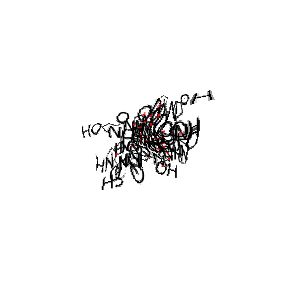 O=C(N[C@@H](CS)C(=O)NCC(=O)N1CCC[C@H]1C(=O)N1C[C@H](O)C[C@H]1C(=O)NCC(=O)N1CCC[C@H]1C(=O)N1C[C@H](O)C[C@H]1C(=O)NCC(=O)N1CCC[C@H]1C(=O)N1C[C@H](O)C[C@H]1C(=O)NCC(=O)N1CCC[C@H]1C(=O)N1C[C@H](O)C[C@H]1C(=O)NCC(=O)N1CCC[C@H]1C(=O)N1C[C@H](O)C[C@H]1C(=O)NCC(=O)N1CCC[C@H]1C(=O)N1C[C@H](O)C[C@H]1C(=O)O)[C@@H]1CCCN1